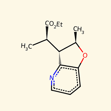 CCOC(=O)[C@H](C)[C@H]1c2ncccc2O[C@@H]1C